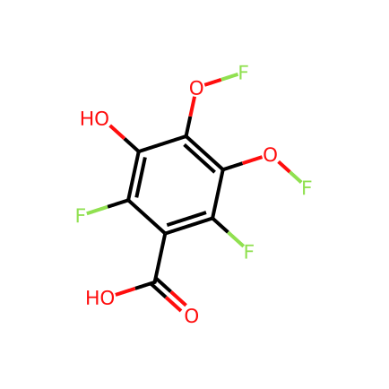 O=C(O)c1c(F)c(O)c(OF)c(OF)c1F